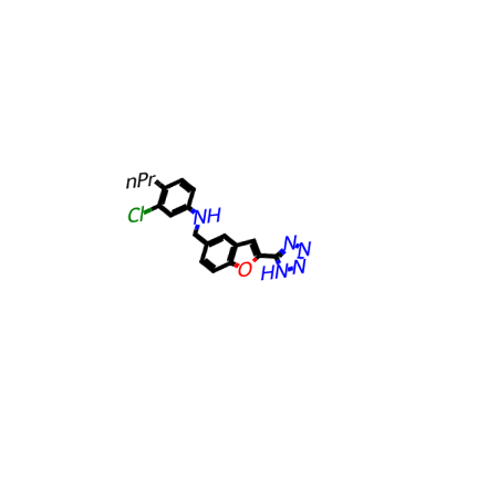 CCCc1ccc(NCc2ccc3oc(-c4nnn[nH]4)cc3c2)cc1Cl